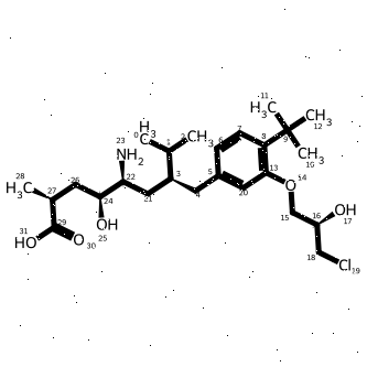 CC(C)[C@@H](Cc1ccc(C(C)(C)C)c(OC[C@@H](O)CCl)c1)C[C@H](N)[C@@H](O)C[C@H](C)C(=O)O